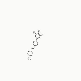 CC[C@H]1CC[C@H](/C=C/[C@H]2CC[C@H](c3cc(F)c(F)c(F)c3)CC2)CC1